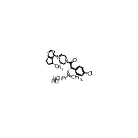 CC(C)N(C)C[C@H](C(=O)N1CCN(c2ncnc3c2[C@H](C)CC3)CC1)c1ccc(Cl)cc1.Cl.Cl